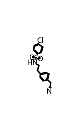 N#CCc1ccc(CCNS(=O)(=O)c2ccc(Cl)cc2)cc1